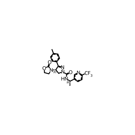 Cc1ccc(C2=NN(C(=O)N[C@H](C)c3ccc(C(F)(F)F)nc3)C[C@H]2N2CCOC2=O)cc1